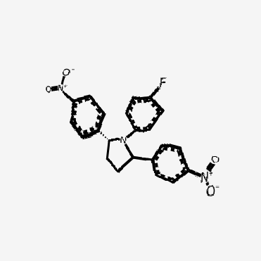 O=[N+]([O-])c1ccc(C2CC[C@H](c3ccc([N+](=O)[O-])cc3)N2c2ccc(F)cc2)cc1